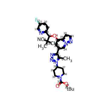 Cc1c(-c2cc(OC(c3ccc(F)cn3)C(C)(C)C#N)c3ccnn3c2)nnn1C1CCN(C(=O)OC(C)(C)C)CC1